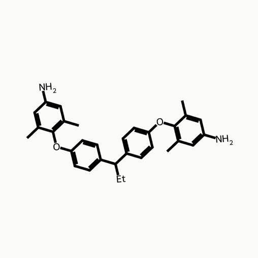 CCC(c1ccc(Oc2c(C)cc(N)cc2C)cc1)c1ccc(Oc2c(C)cc(N)cc2C)cc1